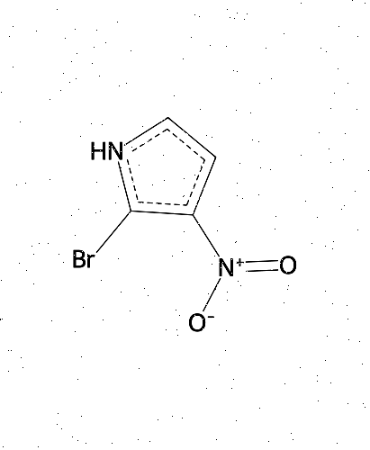 O=[N+]([O-])c1cc[nH]c1Br